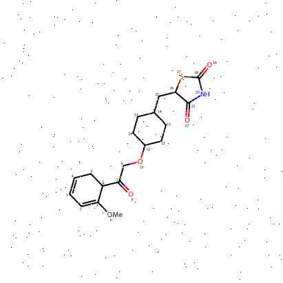 COC1=CC=CCC1C(=O)COC1CCC(CC2SC(=O)NC2=O)CC1